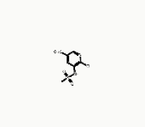 CS(=O)(=O)Nc1cc(C=O)cnc1Cl